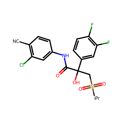 CC(C)S(=O)(=O)CC(O)(C(=O)Nc1ccc(C#N)c(Cl)c1)c1ccc(F)c(F)c1